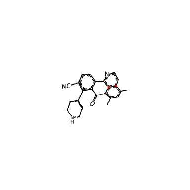 Cc1ccc(C(=O)c2c(-c3ccccn3)ccc(C#N)c2C2CCNCC2)c(C)c1